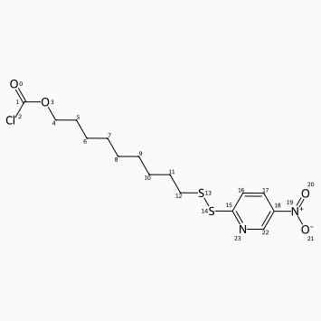 O=C(Cl)OCCCCCCCCCSSc1ccc([N+](=O)[O-])cn1